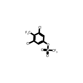 O=S(=O)(Oc1cc(Cl)c(C(F)(F)F)c(Cl)c1)C(F)(F)F